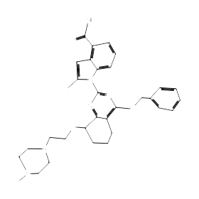 Cc1cc2c(C(N)=O)cccc2n1-c1nc(NCc2ccccc2)c2c(n1)C(OCCN1CCN(C)CC1)CCC2